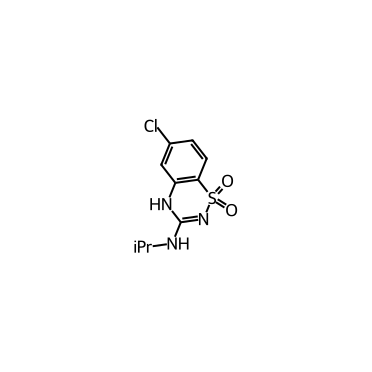 CC(C)NC1=NS(=O)(=O)c2ccc(Cl)cc2N1